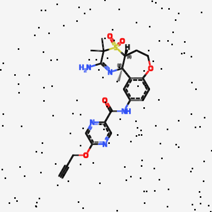 C#CCOc1cnc(C(=O)Nc2ccc3c(c2)[C@@]2(C)N=C(N)C(C)(C)S(=O)(=O)[C@@H]2CCO3)cn1